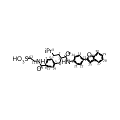 CC(C)CCC(Cc1ccc(C(=O)NCCS(=O)(=O)O)cc1)C(=O)Nc1ccc(-c2cc3ccccc3o2)cc1